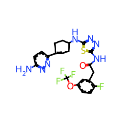 Nc1ccc(C2=CCC(Nc3nnc(NC(=O)Cc4cc(OC(F)(F)F)ccc4F)s3)CC2)nn1